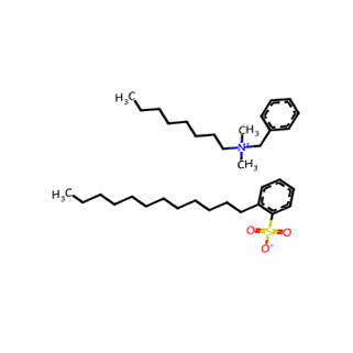 CCCCCCCCCCCCc1ccccc1S(=O)(=O)[O-].CCCCCCCC[N+](C)(C)Cc1ccccc1